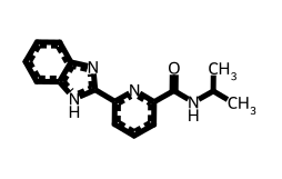 CC(C)NC(=O)c1cccc(-c2nc3ccccc3[nH]2)n1